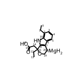 CCc1cccc2c3c([nH]c12)C(CC)(CC(=O)O)OCC3.[MgH2]